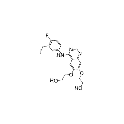 OCCOc1cc2ncnc(Nc3ccc(F)c(CI)c3)c2cc1OCCO